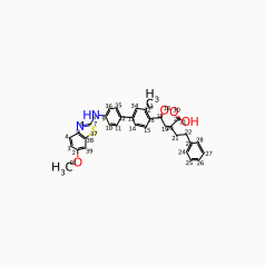 COc1ccc2nc(Nc3ccc(-c4ccc(C(=O)CC(CCc5ccccc5)C(=O)O)c(C)c4)cc3)sc2c1